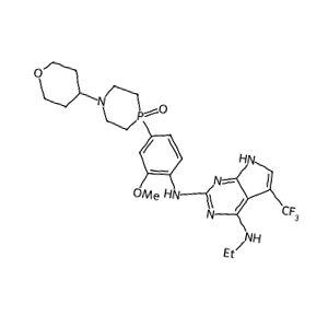 CCNc1nc(Nc2ccc(P3(=O)CCN(C4CCOCC4)CC3)cc2OC)nc2[nH]cc(C(F)(F)F)c12